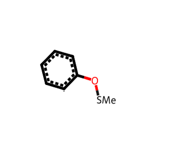 CSOc1[c]cccc1